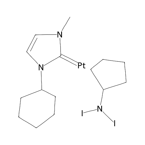 Cn1ccn(C2CCCCC2)[c]1=[Pt].IN(I)C1CCCC1